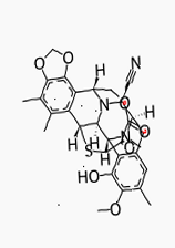 COc1c(C)cc2c(c1O)[C@@H]1[C@H]3[C@@H]4SCC(=O)C(=O)OC[C@@H](c5c6c(c(C)c(C)c54)OCO6)N3[C@@H](C#N)[C@@H](C2)N1C